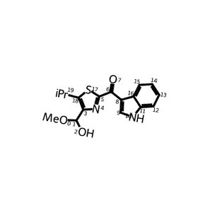 COC(O)c1nc(C(=O)c2c[nH]c3ccccc23)sc1C(C)C